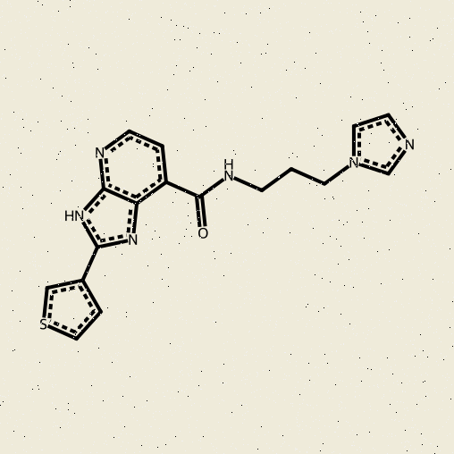 O=C(NCCCn1ccnc1)c1ccnc2[nH]c(-c3ccsc3)nc12